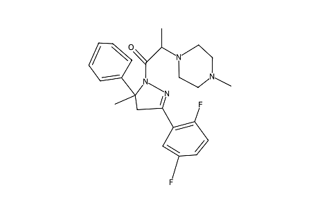 CC(C(=O)N1N=C(c2cc(F)ccc2F)CC1(C)c1ccccc1)N1CCN(C)CC1